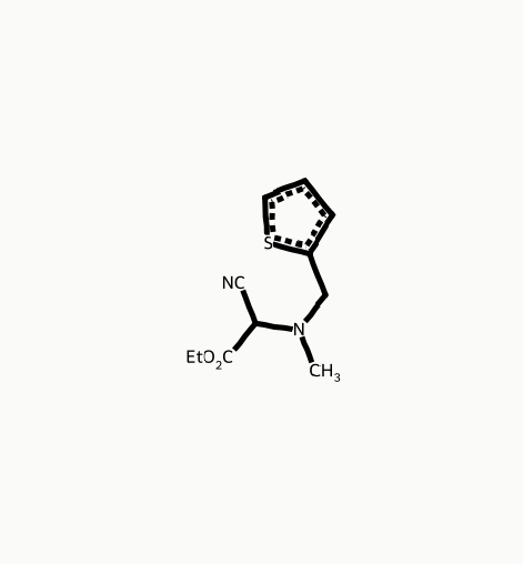 CCOC(=O)C(C#N)N(C)Cc1cccs1